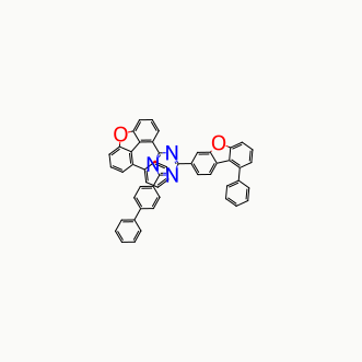 c1ccc(-c2ccc(-c3nc(-c4ccc5c(c4)oc4cccc(-c6ccccc6)c45)nc(-c4cccc5oc6cccc(-c7ccccc7)c6c45)n3)cc2)cc1